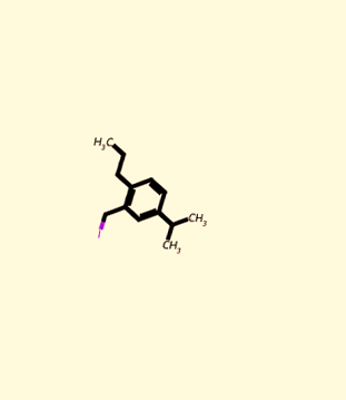 CCCc1ccc(C(C)C)cc1CI